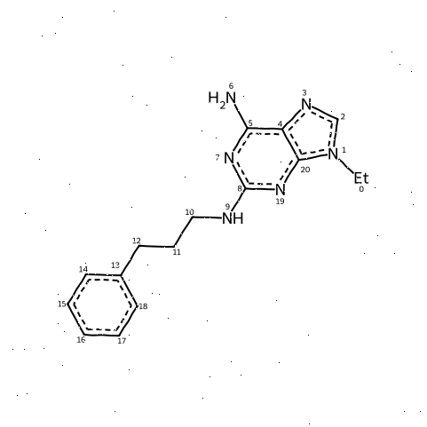 CCn1cnc2c(N)nc(NCCCc3ccccc3)nc21